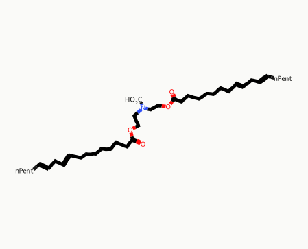 CCCCCC=CCC=CCCCCCCCC(=O)OCCN(CCOC(=O)CCCCCCCC=CCC=CCCCCC)C(=O)O